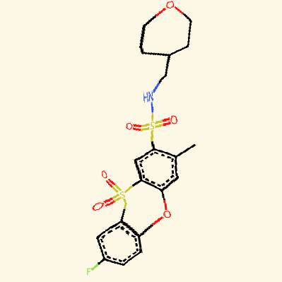 Cc1cc2c(cc1S(=O)(=O)NCC1CCOCC1)S(=O)(=O)c1cc(F)ccc1O2